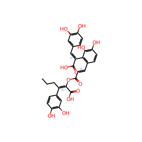 CCC/C(=C(\OC(=O)/C=C/c1ccc(O)c(O)c1/C(=C\c1ccc(O)c(O)c1)C(=O)O)C(=O)O)c1ccc(O)c(O)c1